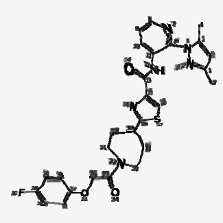 Cc1cc(C)n(-c2ncccc2NC(=O)c2csc(C3CCN(C(=O)COc4ccc(F)cc4)CC3)n2)n1